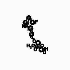 CN1C(=O)N(C2CCC(=O)NC2=O)C2CC=CC(OCCN3CCN(c4cccc(-c5cnc6ccc(N7CCC[C@@H]7c7cccc(F)c7)nn56)n4)CC3)=C21